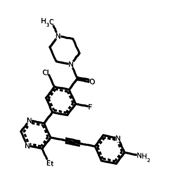 CCc1ncnc(-c2cc(F)c(C(=O)N3CCN(C)CC3)c(Cl)c2)c1C#Cc1ccc(N)nc1